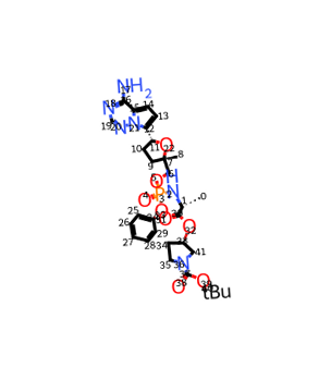 C[C@@H](NP(=O)(OC[C@]1(C)CC[C@H](c2ccc3c(N)ncnn23)O1)Oc1ccccc1)C(=O)O[C@@H]1CCN(C(=O)OC(C)(C)C)C1